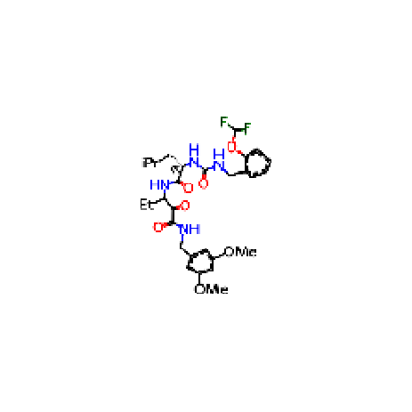 CCC(NC(=O)[C@H](CC(C)C)NC(=O)NCc1ccccc1OC(F)F)C(=O)C(=O)NCc1cc(OC)cc(OC)c1